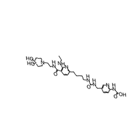 CCNc1nc(CCCCNC(=O)NCc2ccc(NC(=O)O)nc2)ccc1C(=O)NCCN1CCS(O)(O)CC1